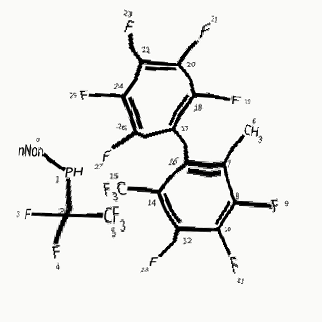 CCCCCCCCCPC(F)(F)C(F)(F)F.Cc1c(F)c(F)c(F)c(C(F)(F)F)c1-c1c(F)c(F)c(F)c(F)c1F